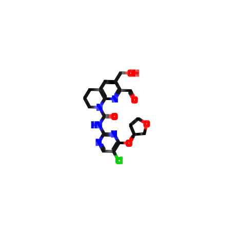 O=Cc1nc2c(cc1CO)CCCN2C(=O)Nc1ncc(Cl)c(O[C@H]2CCOC2)n1